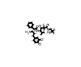 CC(C)[C@H](NC(=O)[C@@H](c1ccccc1)C(N)CCc1ccc(Cl)c(Cl)c1)C(=O)C(F)(F)C(=O)NCC(F)(F)F